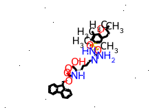 Cc1c(C)c(S(=O)(=O)NC(N)=NCCCC[C@H](NC(=O)OCC2c3ccccc3-c3ccccc32)C(=O)O)c(C)c2c1OC(C)(C)CC2